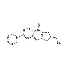 O=c1c2ccc(-c3ccccn3)cc2nc2n1CC(CO)C2